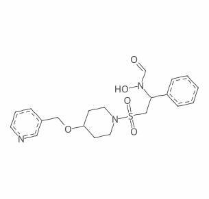 O=CN(O)C(CS(=O)(=O)N1CCC(OCc2cccnc2)CC1)c1ccccc1